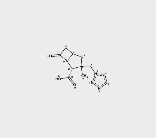 CC1(Cn2ccnn2)SC2CC(=O)N2[C@H]1C(=O)O